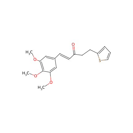 COc1cc(/C=C/C(=O)CCc2cccs2)cc(OC)c1OC